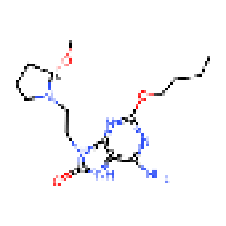 CCCCOc1nc(N)c2[nH]c(=O)n(CCN3CCC[C@@H]3OC)c2n1